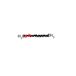 [CH2]COCCOCCCCCCCCCCCCCCCC